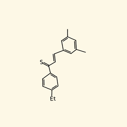 CCc1ccc(C(=S)C=Cc2cc(C)cc(C)c2)cc1